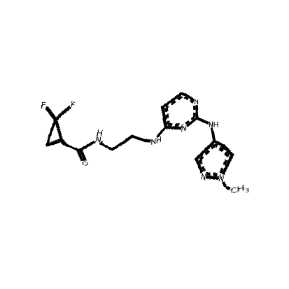 Cn1cc(Nc2nccc(NCCNC(=O)C3CC3(F)F)n2)cn1